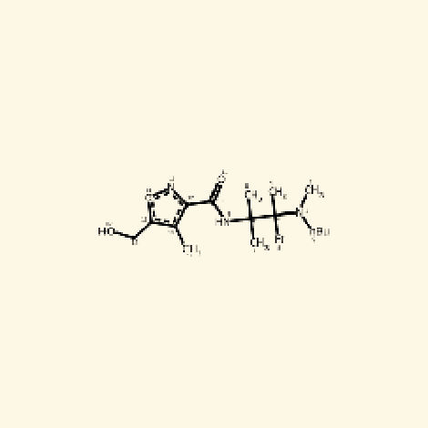 CCCCN(C)C(C)(CC)C(C)(C)NC(=O)c1noc(CO)c1C